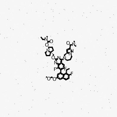 CCc1c(F)ccc2cc(OCOC)cc(-c3c(F)cc4c(N5CCCn6nc(C(=O)N(C)C)cc6C5)nc(OC[C@]56CCCN5[C@@H](OC(=O)N(C)CC)CC6)nc4c3F)c12